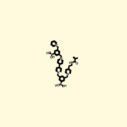 C=C(C)C(=O)NCCc1cc[n+](Cc2cc(C[n+]3ccc(-c4cc[n+](Cc5cc(C[n+]6ccccc6)cc(B(O)O)c5)cc4)cc3)cc(B(O)O)c2)cc1